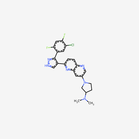 CN(C)C1CCN(c2cnc3ccc(-c4c[nH]nc4-c4cc(Cl)c(F)cc4F)nc3c2)C1